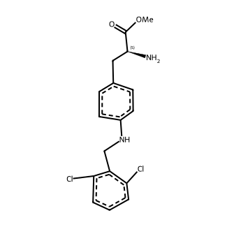 COC(=O)[C@@H](N)Cc1ccc(NCc2c(Cl)cccc2Cl)cc1